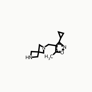 Cc1onc(C2CC2)c1CN1CC2(CNC2)C1